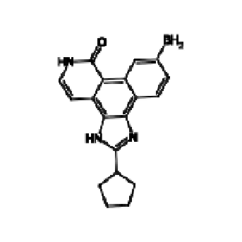 Bc1ccc2c(c1)c1c(=O)[nH]ccc1c1[nH]c(C3CCCC3)nc21